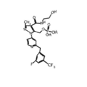 Cc1nn(-c2ccnc(Cc3cc(F)cc(C(F)(F)F)c3)c2)c(COP(=O)(O)O)c1C(=O)NCCO